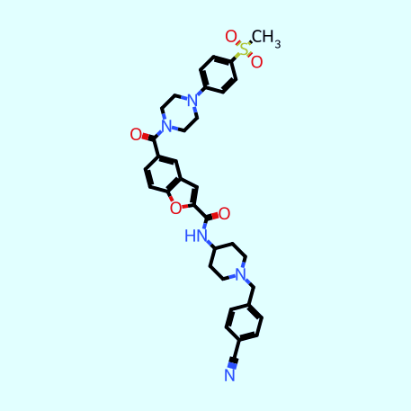 CS(=O)(=O)c1ccc(N2CCN(C(=O)c3ccc4oc(C(=O)NC5CCN(Cc6ccc(C#N)cc6)CC5)cc4c3)CC2)cc1